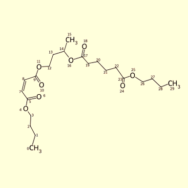 CCCCOC(=O)/C=C\C(=O)OCCC(C)OC(=O)CCCCC(=O)OCCCC